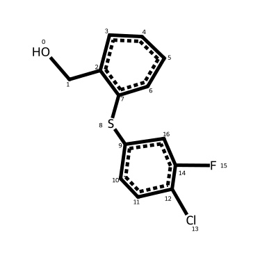 OCc1ccccc1Sc1ccc(Cl)c(F)c1